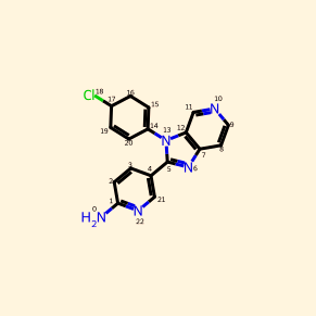 Nc1ccc(-c2nc3ccncc3n2C2=CCC(Cl)C=C2)cn1